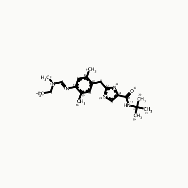 CCN(C)/C=N/c1cc(C)c(Cc2nc(C(=O)NC(C)(C)C)cs2)cc1C